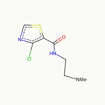 CNCCNC(=O)c1scnc1Cl